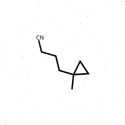 CC1(CCCC#N)CC1